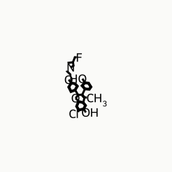 CC1=C(c2cccc(O)c2)C(c2ccc(OCCN3CC(CF)C3)cc2)Oc2cc(Cl)c(O)cc21